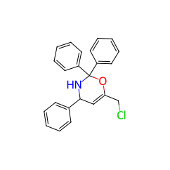 ClCC1=CC(c2ccccc2)NC(c2ccccc2)(c2ccccc2)O1